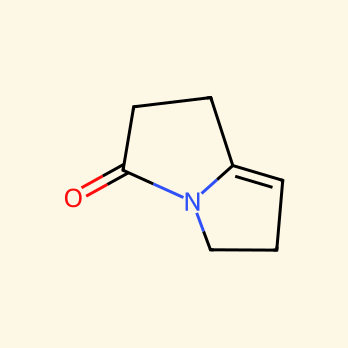 O=C1CCC2=CCCN12